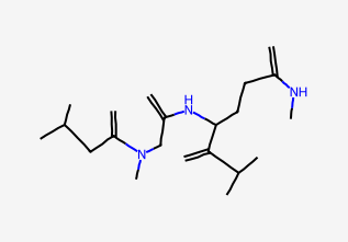 C=C(CCC(NC(=C)CN(C)C(=C)CC(C)C)C(=C)C(C)C)NC